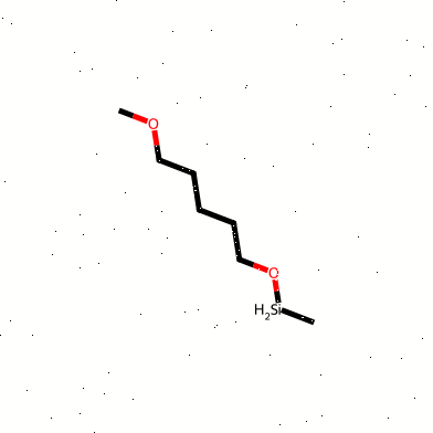 COCCCCCO[SiH2]C